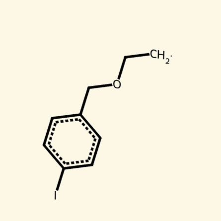 [CH2]COCc1ccc(I)cc1